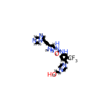 Cn1nc(NC(=O)Nc2ccc(CN3CCN(CCO)CC3)c(C(F)(F)F)c2)cc1C#Cc1cnc2cnccn12